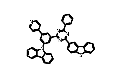 c1ccc(-c2nc(-c3cc(-c4ccncc4)cc(-n4c5ccccc5c5ccccc54)c3)nc(-c3ccc4sc5ccccc5c4c3)n2)cc1